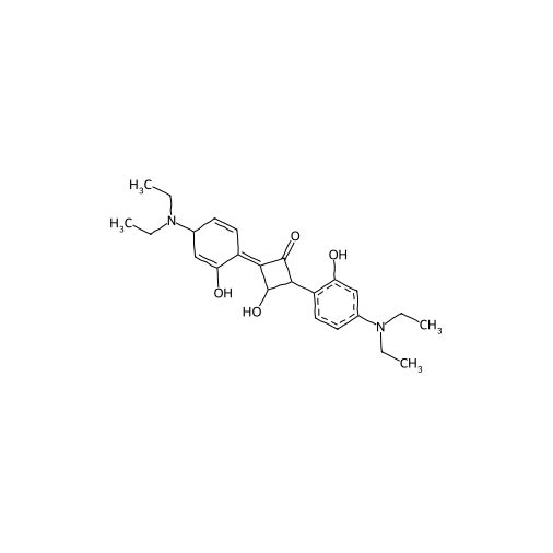 CCN(CC)c1ccc(C2C(=O)C(=C3C=CC(N(CC)CC)C=C3O)C2O)c(O)c1